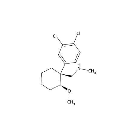 CNC[C@]1(c2ccc(Cl)c(Cl)c2)CCCC[C@@H]1OC